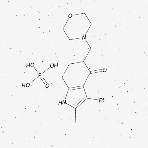 CCc1c(C)[nH]c2c1C(=O)C(CN1CCOCC1)CC2.O=P(O)(O)O